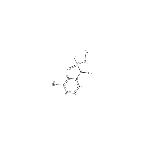 CCOP(C)(=O)C(F)c1cccc(Br)n1